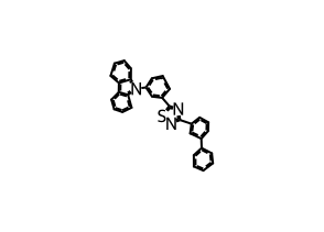 c1ccc(-c2cccc(-c3nsc(-c4cccc(-n5c6ccccc6c6ccccc65)c4)n3)c2)cc1